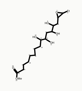 CCC1OC1CC(O)C(O)CC(O)C(O)CCCCCCCC(=O)OC